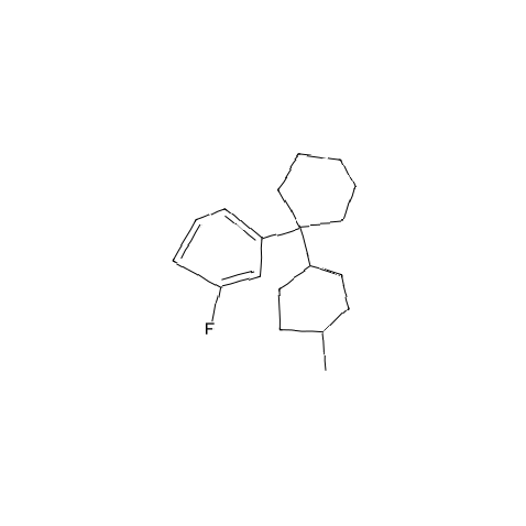 CC1CCC(C2(c3cccc(F)c3)CCCCC2)CC1